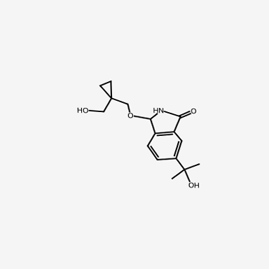 CC(C)(O)c1ccc2c(c1)C(=O)NC2OCC1(CO)CC1